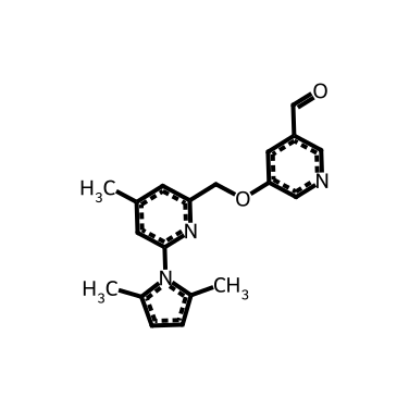 Cc1cc(COc2cncc(C=O)c2)nc(-n2c(C)ccc2C)c1